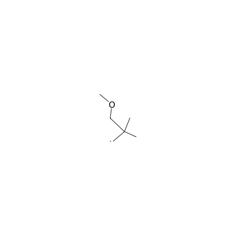 [CH2]C(C)(C)COC